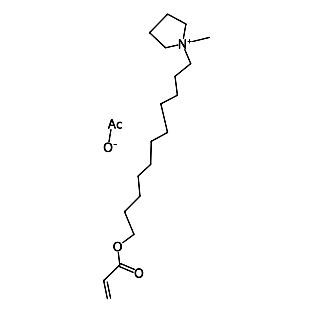 C=CC(=O)OCCCCCCCCCCC[N+]1(C)CCCC1.CC(=O)[O-]